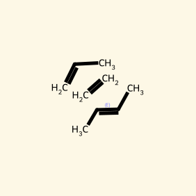 C/C=C/C.C=C.C=CC